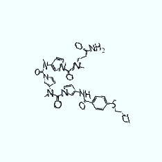 CN(CCC(N)=O)C(=O)n1ccc(N(C)C(=O)n2ccc(N(C)C(=O)n3ccc(NC(=O)c4ccc(SCCCl)cc4)c3)c2)c1